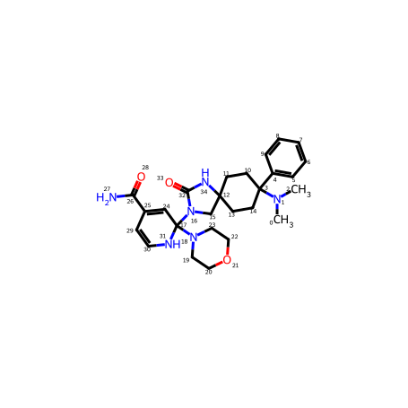 CN(C)C1(c2ccccc2)CCC2(CC1)CN(C1(N3CCOCC3)C=C(C(N)=O)C=CN1)C(=O)N2